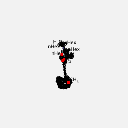 CCCCCCOc1cc(/C=C/c2cc(OCCCCCC)c(C(O)CC(CC(ON3C(C)(C)CCCC3(C)C)c3ccc(COCCCCCCOc4ccc(C5C6c7cc8c9c%10c(cc%11ccc%12cc%13c%14c%15c(cc(c%16c7c9c(c%16%15)c7c%14c%12c%11c%107)C6CN5C)C%13)C8)cc4)cc3)c3ccccc3)cc2OCCCCCC)c(OCCCCCC)cc1C